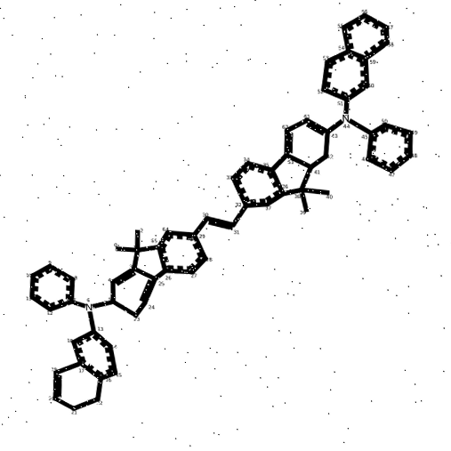 CC1(C)C2=CC(N(c3ccccc3)c3ccc4c(c3)C=CCC4)CC=C2c2ccc(/C=C/c3ccc4c(c3)C(C)(C)C3CC(N(c5ccccc5)c5ccc6ccccc6c5)=CC=C43)cc21